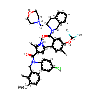 COc1cccc(CN(C(=O)c2cc(-c3cc(C)c(OC(F)F)cc3C(=O)N3Cc4ccccc4C[C@H]3CN3CCOCC3)n(C)c2C)c2ccc(Cl)cc2)c1C